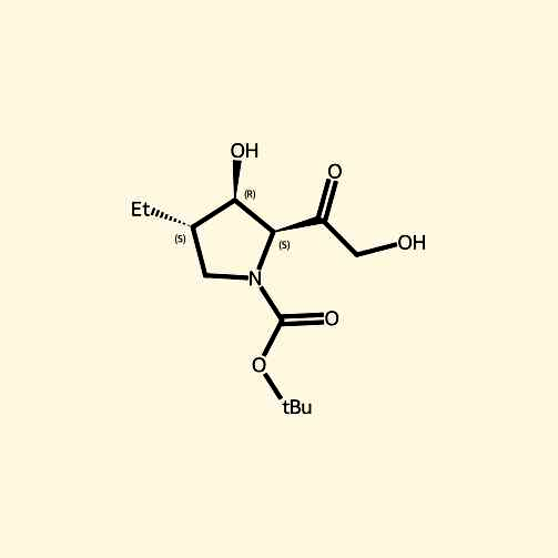 CC[C@H]1CN(C(=O)OC(C)(C)C)[C@H](C(=O)CO)[C@@H]1O